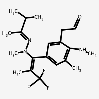 CNc1c(C)cc(/C(=C(/C)C(F)(F)F)N(C)/N=C(\C)C(C)C)cc1CC=O